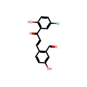 O=Cc1cc(O)ccc1C=CC(=O)c1cc(Cl)ccc1O